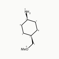 COC[C@H]1CC[C@@H](N)CC1